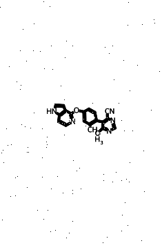 Cc1cc(Oc2nccc3[nH]ccc23)ccc1-c1c(C)ncnc1C#N